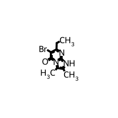 CCc1nc2[nH]c(C)c(C)n2c(=O)c1Br